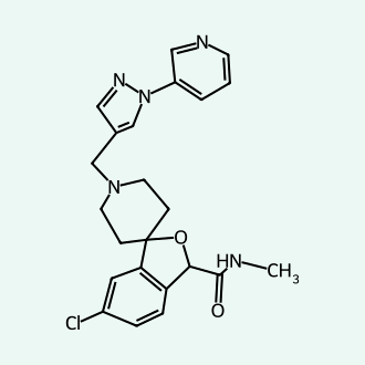 CNC(=O)C1OC2(CCN(Cc3cnn(-c4cccnc4)c3)CC2)c2cc(Cl)ccc21